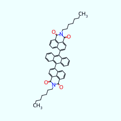 CCCCCCCN1C(=O)c2cccc3c(-c4c5ccccc5c(-c5ccc6c7c(cccc57)C(=O)N(CCCCCCC)C6=O)c5ccccc45)ccc(c23)C1=O